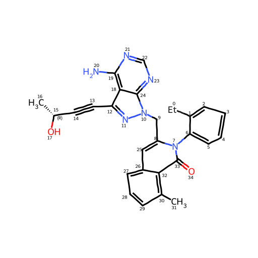 CCc1ccccc1-n1c(Cn2nc(C#C[C@@H](C)O)c3c(N)ncnc32)cc2cccc(C)c2c1=O